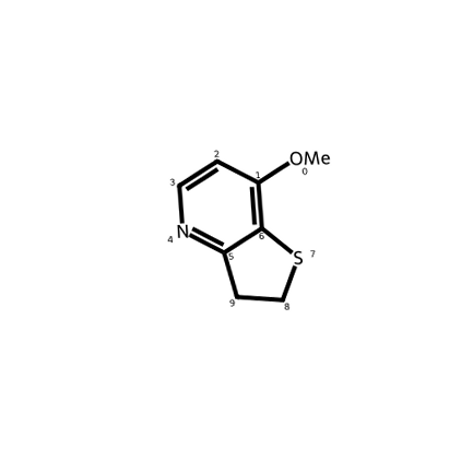 COc1ccnc2c1SCC2